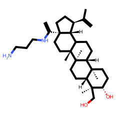 C=C(C)[C@@H]1CC[C@]2(C(=C)NCCCN)CC[C@]3(C)C(CC[C@@H]4[C@@]5(C)CC[C@H](O)[C@@](C)(CO)[C@@H]5CC[C@]43C)[C@@H]12